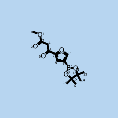 COC(=O)CC(=O)c1cc(B2OC(C)(C)C(C)(C)O2)co1